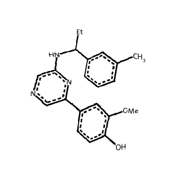 CCC(Nc1cncc(-c2ccc(O)c(OC)c2)n1)c1cccc(C)c1